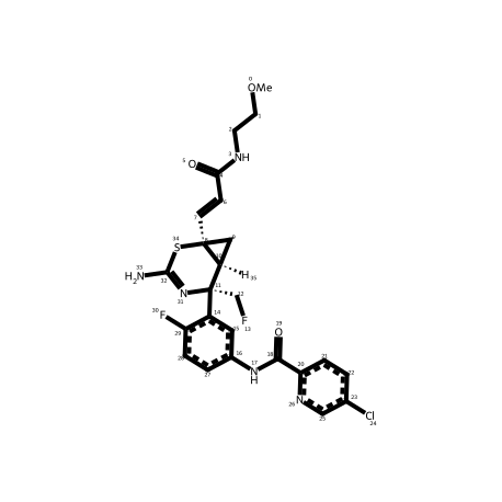 COCCNC(=O)C=C[C@]12C[C@H]1[C@@](CF)(c1cc(NC(=O)c3ccc(Cl)cn3)ccc1F)N=C(N)S2